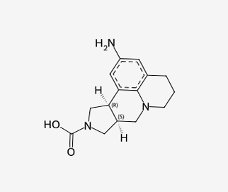 Nc1cc2c3c(c1)[C@@H]1CN(C(=O)O)C[C@@H]1CN3CCC2